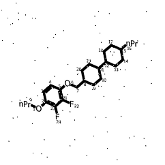 CCCOc1ccc(OCC2CCC(C3CCC(CCC)CC3)CC2)c(F)c1F